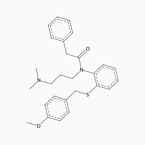 COc1ccc(CSc2ccccc2N(CCCN(C)C)C(=O)Cc2ccccc2)cc1